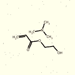 C=CC(=O)OCCO.CN(C)C